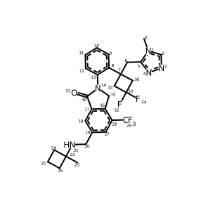 Cn1cnnc1CC1(c2ccccc2N2Cc3c(cc(CNC4(C)CCC4)cc3C(F)(F)F)C2=O)CC(F)(F)C1